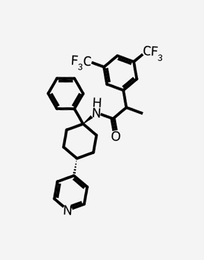 CC(C(=O)N[C@]1(c2ccccc2)CC[C@@H](c2ccncc2)CC1)c1cc(C(F)(F)F)cc(C(F)(F)F)c1